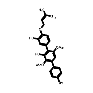 COc1cc(-c2ccc(C(C)C)cc2)c(OC)c(O)c1-c1ccc(OCC=C(C)C)c(O)c1